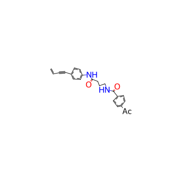 C=CC#Cc1ccc(NC(=O)CCCNC(=O)c2ccc(C(C)=O)cc2)cc1